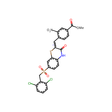 COC(=O)c1ccc(/C=C2/Sc3cc(S(=O)(=O)Cc4c(Cl)cccc4Cl)ccc3NC2=O)c([N+](=O)[O-])c1